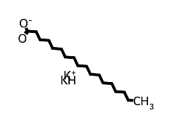 CCCCCCCCCCCCCCCCCC(=O)[O-].[K+].[KH]